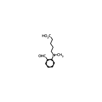 CN(CCCCC(=O)O)c1ccccc1C=O